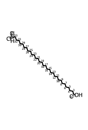 O=C(O)CCCCCCCCCCCCCCCCCCCCCCCCCCCCCCC[SiH](Cl)Cl